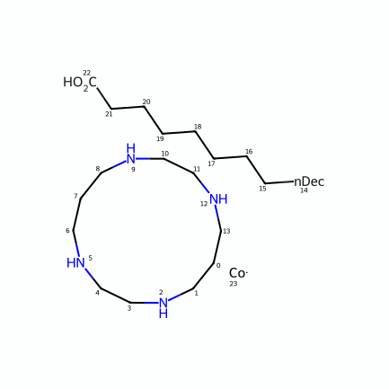 C1CNCCNCCCNCCNC1.CCCCCCCCCCCCCCCCCC(=O)O.[Co]